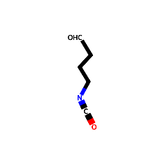 O=C=NCCCC=O